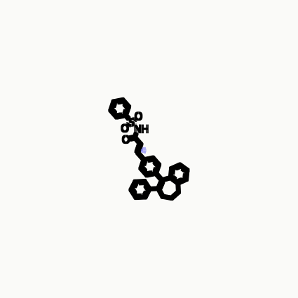 O=C(/C=C/c1ccc(C2=C(c3ccccc3)CCCc3ccccc32)cc1)NS(=O)(=O)c1ccccc1